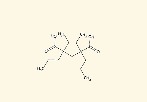 CCCC(CC)(CC(CC)(CCC)C(=O)O)C(=O)O